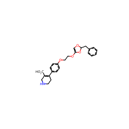 O=C(O)C1=C(c2ccc(OCCOC3=COC(Cc4ccccc4)O3)cc2)CCNC1